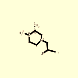 C[C@@H]1CN(CC(F)F)CCN1C